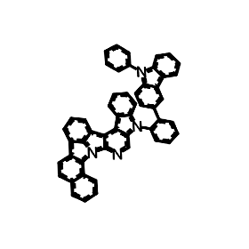 c1ccc(-n2c3ccccc3c3cc(-c4ccccc4-n4c5ccccc5c5c6c7cccc8c9ccc%10ccccc%10c9n(c6ncc54)c87)ccc32)cc1